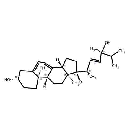 CC(C)[C@](C)(O)/C=C/[C@@H](C)[C@@]1(O)CC[C@H]2C3=CC=C4C[C@@H](O)CC[C@]4(C)[C@H]3CC[C@@]21C